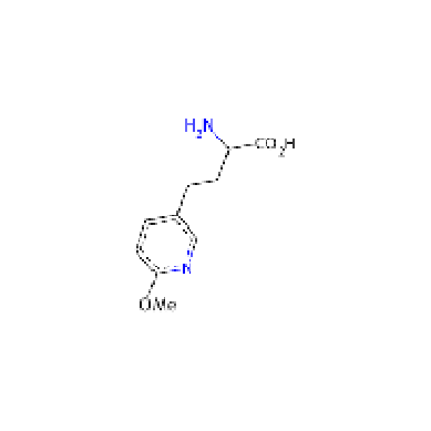 COc1ccc(CCC(N)C(=O)O)cn1